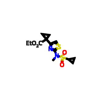 CCOC(=O)C1(c2csc(N(C)S(=O)(=O)C3CC3)n2)CC1